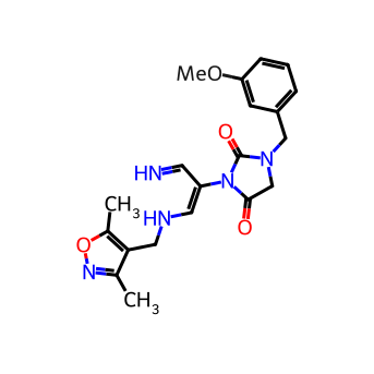 COc1cccc(CN2CC(=O)N(/C(C=N)=C/NCc3c(C)noc3C)C2=O)c1